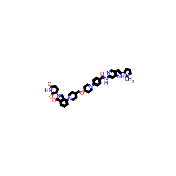 CN1CCC[C@@H]1c1cc2cnc(NC(=O)c3ccc(N4CCC(OCC5CCN(c6cccc7c6CN(C6CCC(=O)NC6=O)C7=O)CC5)CC4)cc3)cc2[nH]1